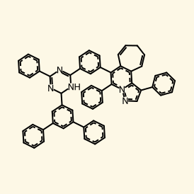 C1=Cc2c(-c3cccc(C4=NC(c5ccccc5)=NC(c5cc(-c6ccccc6)cc(-c6ccccc6)c5)N4)c3)c(-c3ccccc3)n3ncc(-c4ccccc4)c3c2C=CC1